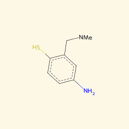 CNCc1cc(N)ccc1S